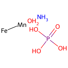 N.O.O=P(O)(O)O.[Mn][Fe]